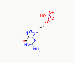 Nc1nc2c(nnn2CCCCOP(=O)(O)O)c(=O)[nH]1